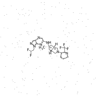 C[C@@]1(Nc2cnc3cnn(CC(F)F)c3n2)C[C@H]2CN(c3cccnc3C(F)(F)F)C[C@H]2C1